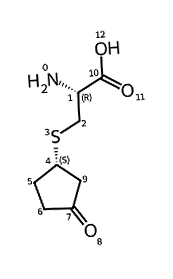 N[C@@H](CS[C@H]1CCC(=O)C1)C(=O)O